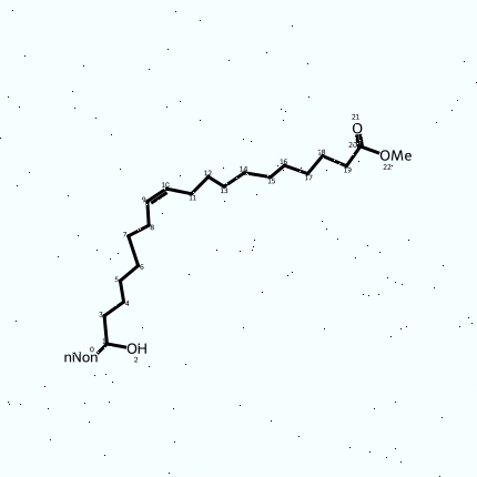 CCCCCCCCCC(O)CCCCCC/C=C\CCCCCCCCCC(=O)OC